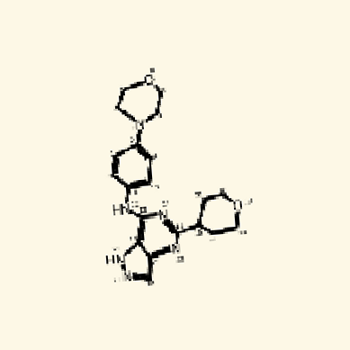 c1cc(N2CCOCC2)ccc1Nc1nc(C2CCOCC2)nc2cn[nH]c12